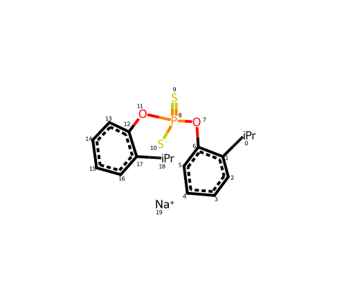 CC(C)c1ccccc1OP(=S)([S-])Oc1ccccc1C(C)C.[Na+]